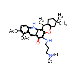 CCN(CC)CCCNc1c2c(c3[nH]c4ccc(OC(C)=O)c(OC(C)=O)c4cc-3c1=O)C(C)C1=C(CC(C)(C)CC1)O2